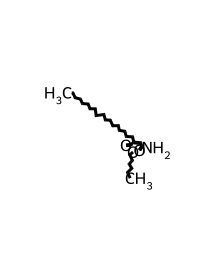 CCCCCCCCCCCCCCCCCCC(=CC(N)=O)C(=O)OCCCCCC